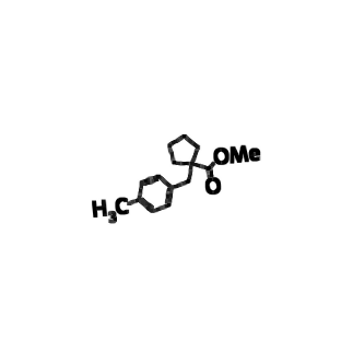 COC(=O)C1(Cc2ccc(C)cc2)CCCC1